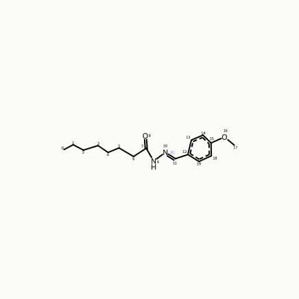 CCCCCCCC(=O)N/N=C/c1ccc(OC)cc1